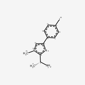 C[C@@H](N)c1nc(-c2ccc(I)cc2)cn1C